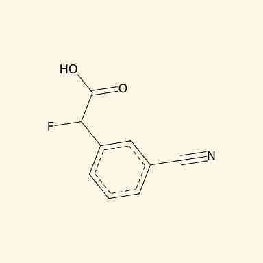 N#Cc1cccc(C(F)C(=O)O)c1